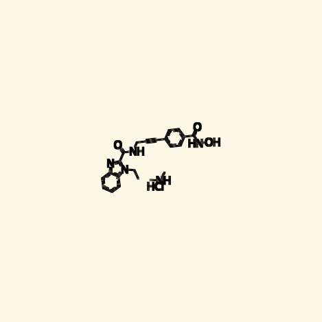 CCn1c(C(=O)NCC#Cc2ccc(C(=O)NO)cc2)nc2ccccc21.CNC.Cl